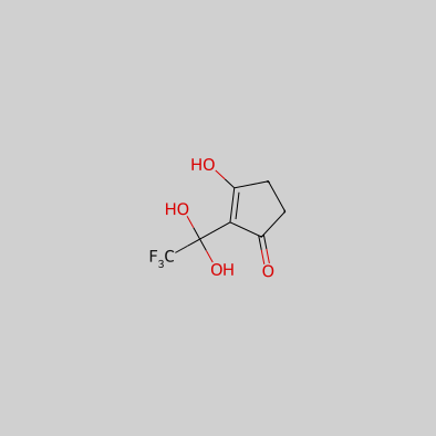 O=C1CCC(O)=C1C(O)(O)C(F)(F)F